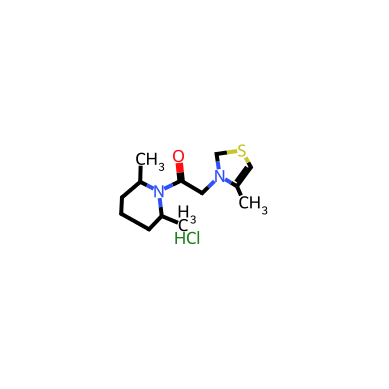 CC1=CSCN1CC(=O)N1C(C)CCCC1C.Cl